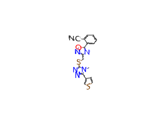 Cn1c(SCc2noc(-c3ccccc3C#N)n2)nnc1-c1ccsc1